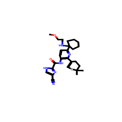 COCCNC1(c2ccc(NC(=O)c3nc(C#N)c[nH]3)c(C3=CCC(C)(C)CC3)n2)CCCCC1